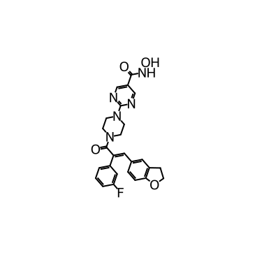 O=C(NO)c1cnc(N2CCN(C(=O)/C(=C/c3ccc4c(c3)CCO4)c3cccc(F)c3)CC2)nc1